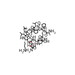 CC(C)C[C@H](NC(=O)[C@@H]1CCCN1C(=O)[C@@H](NC(=O)[C@@H]1CCCN1C(=O)[C@H](CCC(=O)O)NC(=O)[C@H](C)N)C(C)C)C(=O)N[C@H](C(=O)N[C@@H](CCCCN)C(=O)N[C@@H](CCC(N)=O)C(=O)N[C@@H](CC(=O)O)C(=O)N[C@@H](C)C(=O)O)C(C)C